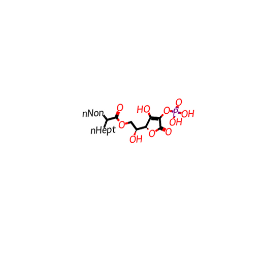 CCCCCCCCCC(CCCCCCC)C(=O)OC[C@H](O)[C@H]1OC(=O)C(OP(=O)(O)O)=C1O